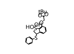 CC(C)(C)OC(=O)COc1cccc2c1S(O)(O)CC2Sc1ccccc1